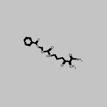 C=C(C(N)=O)C(=O)CCCNC(=O)OCOC(=O)c1ccccc1